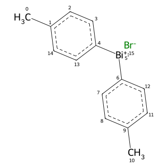 Cc1cc[c]([Bi+][c]2ccc(C)cc2)cc1.[Br-]